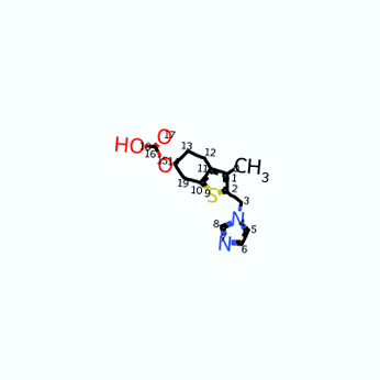 Cc1c(Cn2ccnc2)sc2c1CCC(OC(=O)O)C2